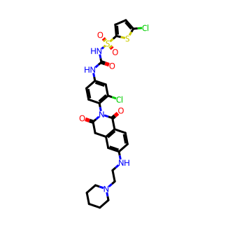 O=C(Nc1ccc(N2C(=O)Cc3cc(NCCN4CCCCC4)ccc3C2=O)c(Cl)c1)NS(=O)(=O)c1ccc(Cl)s1